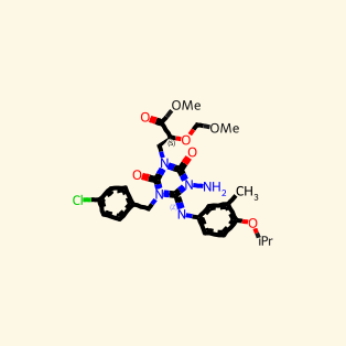 COCO[C@@H](Cn1c(=O)n(N)/c(=N\c2ccc(OC(C)C)c(C)c2)n(Cc2ccc(Cl)cc2)c1=O)C(=O)OC